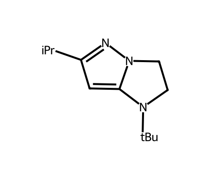 CC(C)c1cc2n(n1)CCN2C(C)(C)C